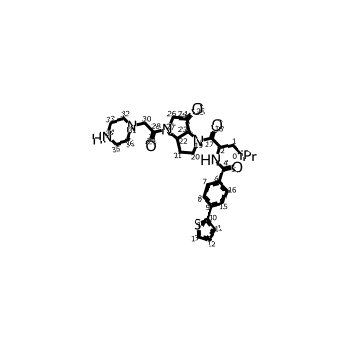 CC(C)CC(NC(=O)c1ccc(-c2cccs2)cc1)C(=O)N1CCC2C1C(=O)CN2C(=O)CN1CCNCC1